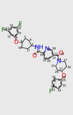 O=C(NC1CCC(Oc2cc(F)cc(F)c2)CC1)c1ccc(C(=O)N2CCC(Oc3ccc(F)cc3)CC2)cn1